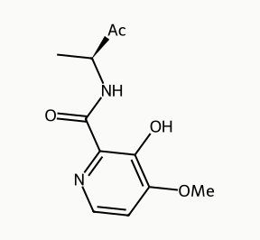 COc1ccnc(C(=O)N[C@@H](C)C(C)=O)c1O